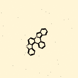 c1ccc2c(c1)cn1c3ccc4sc5ccccc5c4c3c3ccccc3c21